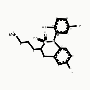 CNCCCC1Cc2cc(F)ccc2N(c2cc(F)ccc2F)S1(=O)=O